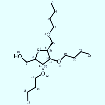 CCCCOC[C@@H]1SC(CO)[C@@H](OCCCC)[C@@H]1OCCCC